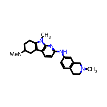 CNC1CCc2c(c3ccc(Nc4ccc5c(c4)CN(C)CC5)nc3n2C)C1